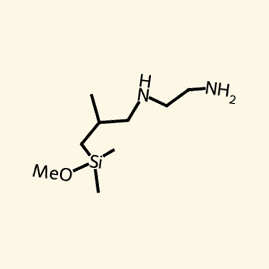 CO[Si](C)(C)CC(C)CNCCN